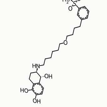 NS(=O)(=O)c1cccc(CCCCOCCCCCCN[C@@H]2CCc3c(ccc(O)c3O)[C@H]2O)c1